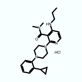 CCCNc1ccnc(N2CCN(c3ccccc3C3CC3)CC2)c1C(=O)N(C)C.Cl